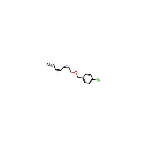 CN/C=C\C=C/COCc1ccc(Br)cc1